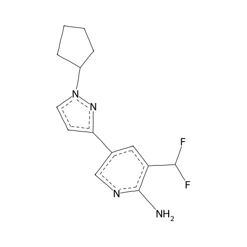 Nc1ncc(-c2ccn(C3CCCC3)n2)cc1C(F)F